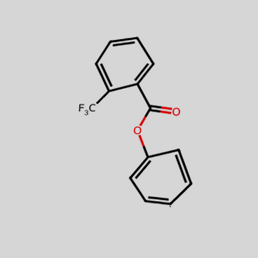 O=C(Oc1cc[c]cc1)c1ccccc1C(F)(F)F